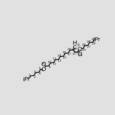 CC(C)CCCCCOC(=O)CCCCCCCCCCC(C)CC(=O)OCCCCCC(C)C